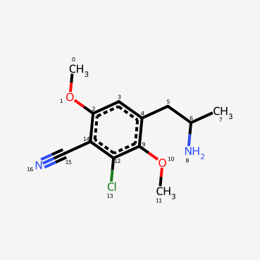 COc1cc(CC(C)N)c(OC)c(Cl)c1C#N